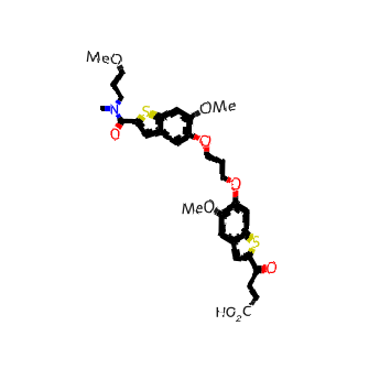 COCCCN(C)C(=O)c1cc2cc(OCCCOc3cc4sc(C(=O)CCC(=O)O)cc4cc3OC)c(OC)cc2s1